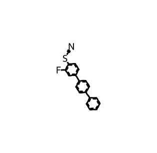 N#CSc1ccc(-c2ccc(-c3ccccc3)cc2)cc1F